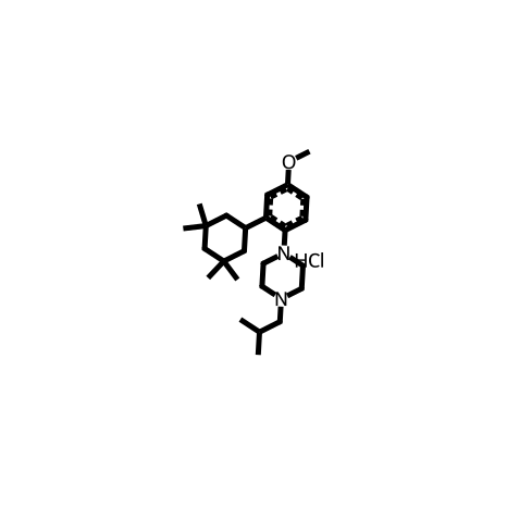 COc1ccc(N2CCN(CC(C)C)CC2)c(C2CC(C)(C)CC(C)(C)C2)c1.Cl